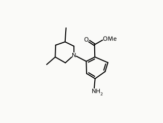 COC(=O)c1ccc(N)cc1N1CC(C)CC(C)C1